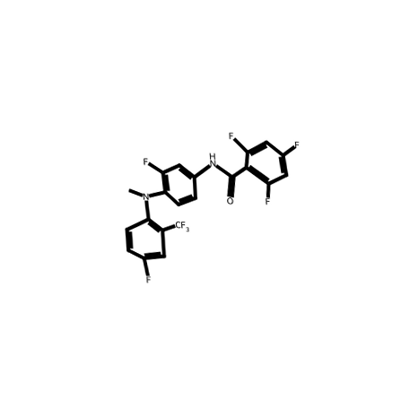 CN(c1ccc(NC(=O)c2c(F)cc(F)cc2F)cc1F)c1ccc(F)cc1C(F)(F)F